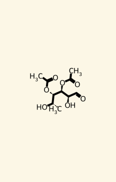 CC(=O)O[C@H]([C@@H](OC(C)=O)[C@H](O)C=O)[C@H](C)O